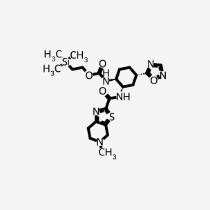 CN1CCc2nc(C(=O)N[C@H]3C[C@@H](c4ncno4)CC[C@@H]3NC(=O)OCC[Si](C)(C)C)sc2C1